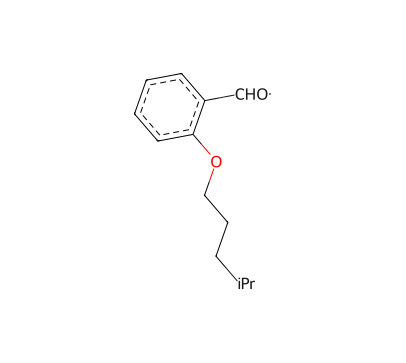 CC(C)CCCOc1ccccc1[C]=O